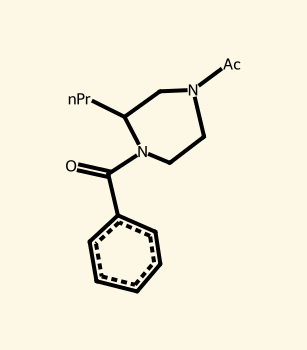 CCCC1CN(C(C)=O)CCN1C(=O)c1ccccc1